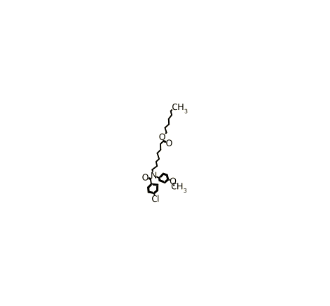 CCCCCCCOC(=O)CCCCCCCN(C(=O)c1ccc(Cl)cc1)c1ccc(OC)cc1